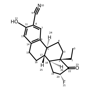 CC[C@]12CC[C@@H]3c4cc(C#N)c(O)cc4CC[C@H]3[C@@H]1C[C@@H](F)C2=O